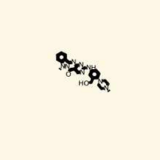 CN1CCN(c2ccc(Nc3ncc4c(=O)n5c(nc4n3)c3ccccc3n5C)cc2CO)CC1